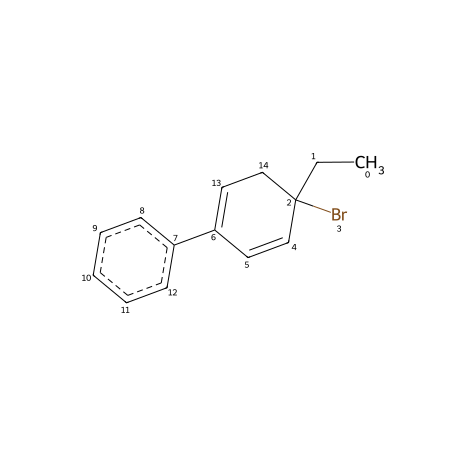 CCC1(Br)C=CC(c2ccccc2)=CC1